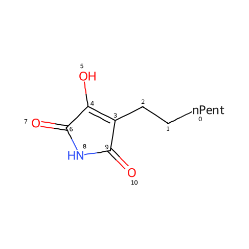 CCCCCCCC1=C(O)C(=O)NC1=O